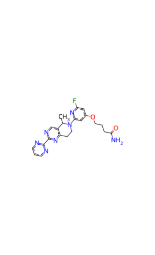 CC1c2cnc(-c3ncccn3)nc2CCN1c1cc(OCCCC(N)=O)cc(F)n1